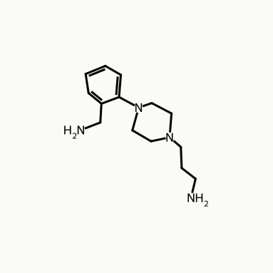 NCCCN1CCN(c2ccccc2CN)CC1